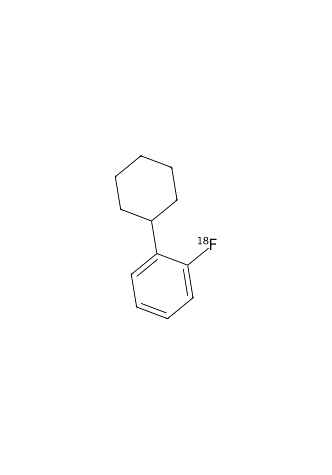 [18F]c1ccccc1C1CCCCC1